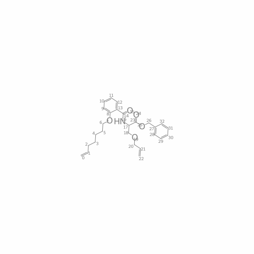 C=CCCCCCOc1ccccc1C(=O)NC(COCC=C)C(=O)OCc1ccccc1